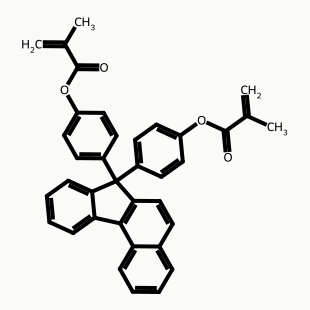 C=C(C)C(=O)Oc1ccc(C2(c3ccc(OC(=O)C(=C)C)cc3)c3ccccc3-c3c2ccc2ccccc32)cc1